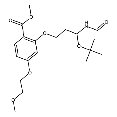 COCCOc1ccc(C(=O)OC)c(OCCC(NC=O)OC(C)(C)C)c1